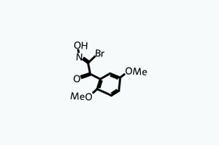 COc1ccc(OC)c(C(=O)C(Br)=NO)c1